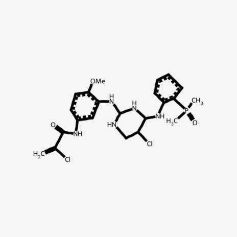 C=C(Cl)C(=O)Nc1ccc(OC)c(NC2NCC(Cl)C(Nc3ccccc3P(C)(C)=O)N2)c1